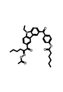 CCCCCC(=O)Oc1ccc(C(=O)c2ccc3c(c2)c2cc(C(=O)/C(CCCC)=N/OC(C)=O)ccc2n3CC)cc1